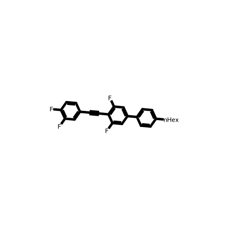 CCCCCCc1ccc(-c2cc(F)c(C#Cc3ccc(F)c(F)c3)c(F)c2)cc1